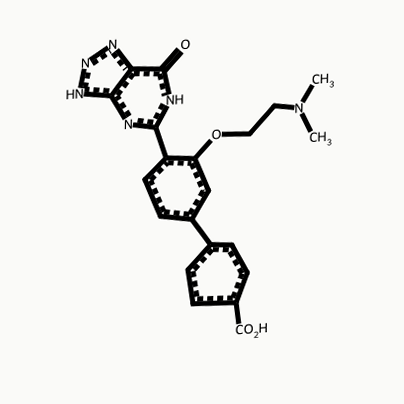 CN(C)CCOc1cc(-c2ccc(C(=O)O)cc2)ccc1-c1nc2[nH]nnc2c(=O)[nH]1